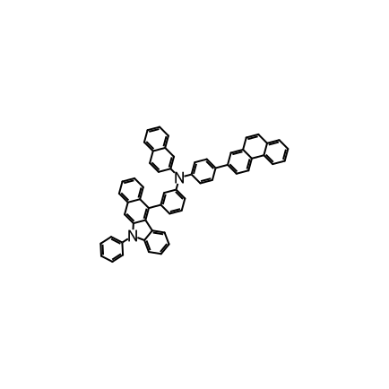 c1ccc(-n2c3ccccc3c3c(-c4cccc(N(c5ccc(-c6ccc7c(ccc8ccccc87)c6)cc5)c5ccc6ccccc6c5)c4)c4ccccc4cc32)cc1